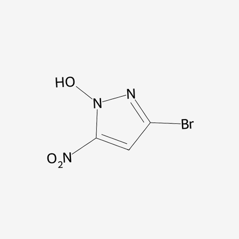 O=[N+]([O-])c1cc(Br)nn1O